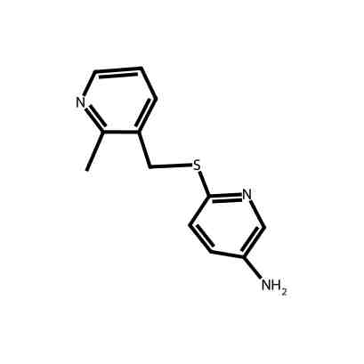 Cc1ncccc1CSc1ccc(N)cn1